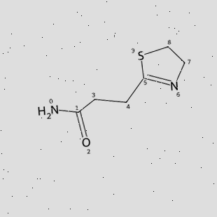 NC(=O)CCC1=NCCS1